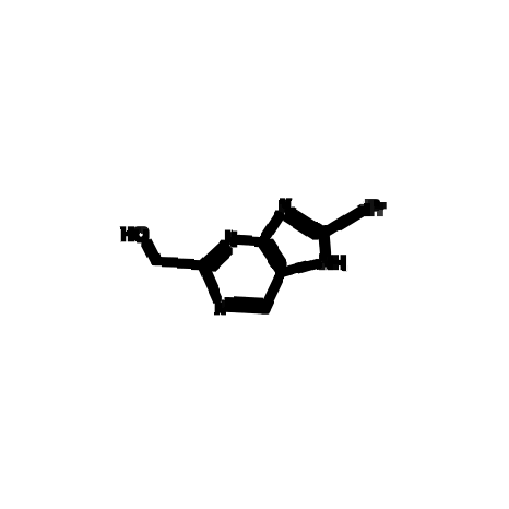 CC(C)c1nc2nc(CO)ncc2[nH]1